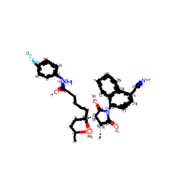 CC1CCC(CCCC(=O)Nc2ccc(F)cc2)([C@@H]2C(=O)N(c3ccc(C#N)c4ccccc34)C(=O)[C@@H]2C)O1